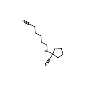 N#CCCCCCNC1(C#N)CCCC1